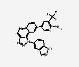 Nc1ncc(-c2ccc3ncc4nnn(-c5ccc6[nH]ncc6c5)c4c3c2)cc1C(F)(F)F